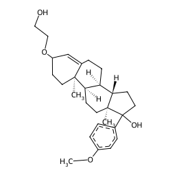 COc1ccc(C2(O)CC[C@H]3[C@@H]4CCC5=CC(OCCO)CC[C@]5(C)[C@@H]4CC[C@@]32C)cc1